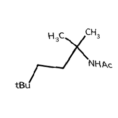 CC(=O)NC(C)(C)CCC(C)(C)C